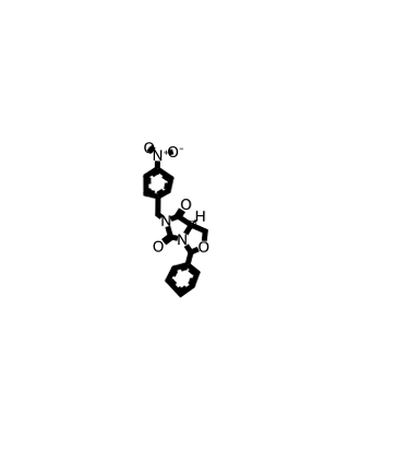 O=C1[C@H]2COC(c3ccccc3)N2C(=O)N1Cc1ccc([N+](=O)[O-])cc1